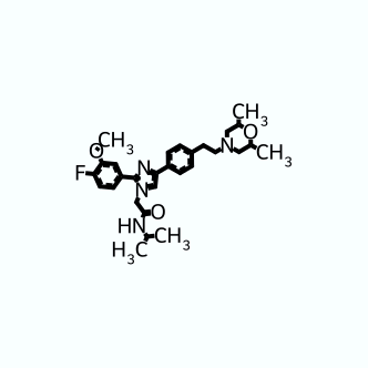 COc1cc(-c2nc(-c3ccc(CCN4CC(C)OC(C)C4)cc3)cn2CC(=O)NC(C)C)ccc1F